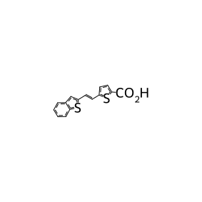 O=C(O)c1ccc(C=Cc2cc3ccccc3s2)s1